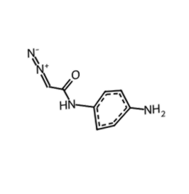 [N-]=[N+]=CC(=O)Nc1ccc(N)cc1